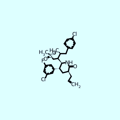 C=CC[C@H]1C[C@H](c2cc(F)cc(Cl)c2)[C@@H](C(CS(C)(=O)=O)[C@@H](C)Cc2ccc(Cl)cc2)NC1=O